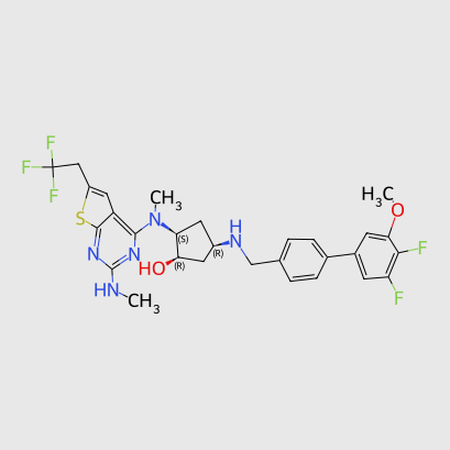 CNc1nc(N(C)[C@H]2C[C@@H](NCc3ccc(-c4cc(F)c(F)c(OC)c4)cc3)C[C@H]2O)c2cc(CC(F)(F)F)sc2n1